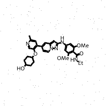 CCNC(=O)c1c(OC)cc(Nc2cc3cc(-c4cc(C)ncc4OC4CCC(O)CC4)ccn3n2)cc1OC